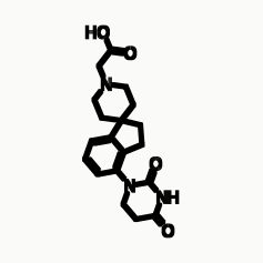 O=C(O)CN1CCC2(CCc3c(N4CCC(=O)NC4=O)cccc32)CC1